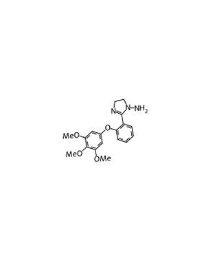 COc1cc(Oc2ccccc2C2=NCCN2N)cc(OC)c1OC